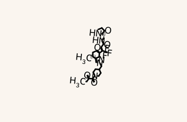 CCC(=O)C(=O)N1CCC(Cn2cc3c(n2)-c2c(oc(C(=O)NC[C@@H]4NCCC4=O)c2C(F)(F)F)C[C@@H]3C)CC1